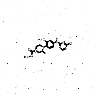 COc1cc(Nc2ncnc(Cl)n2)ccc1N1CCN(C(=O)OC(C)(C)C)CC1C